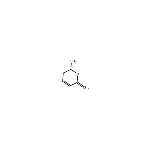 C=C1C=CCC(C)O1